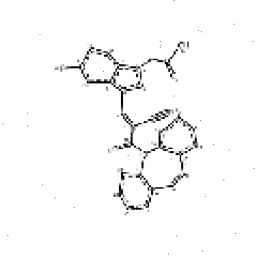 N#CC(=Cc1cn(CC(=O)O)c2ccc(F)cc12)C(=O)N1c2ccccc2C=Cc2ccccc21